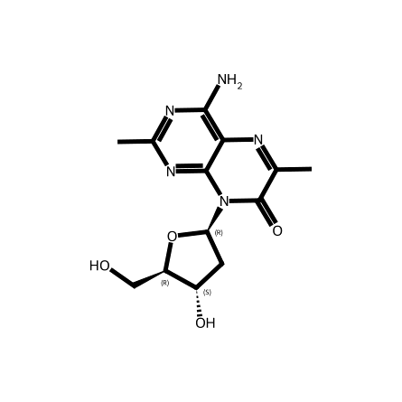 Cc1nc(N)c2nc(C)c(=O)n([C@H]3C[C@H](O)[C@@H](CO)O3)c2n1